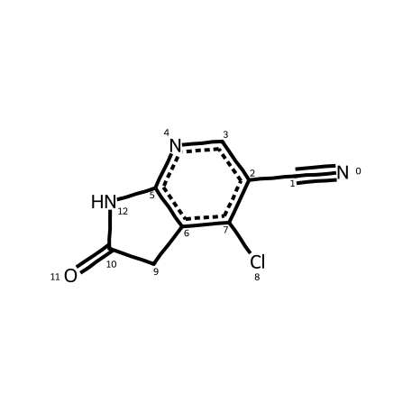 N#Cc1cnc2c(c1Cl)CC(=O)N2